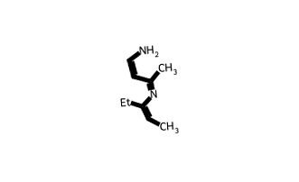 C\C=C(CC)/N=C(C)\C=C/N